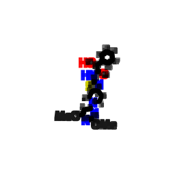 COc1cc(N2CCc3nc(NC(=O)[C@@H](O)c4ccccc4)sc3C2)nc(OC)n1